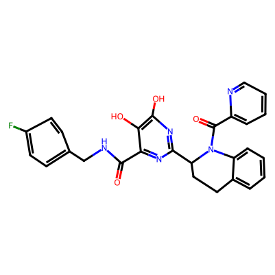 O=C(NCc1ccc(F)cc1)c1nc(C2CCc3ccccc3N2C(=O)c2ccccn2)nc(O)c1O